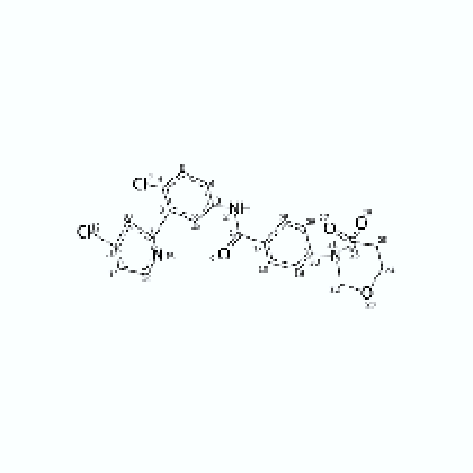 O=C(Nc1ccc(Cl)c(-c2cc(Cl)ccn2)c1)c1ccc(N2COCCS2(=O)=O)cc1